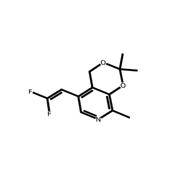 Cc1ncc(C=C(F)F)c2c1OC(C)(C)OC2